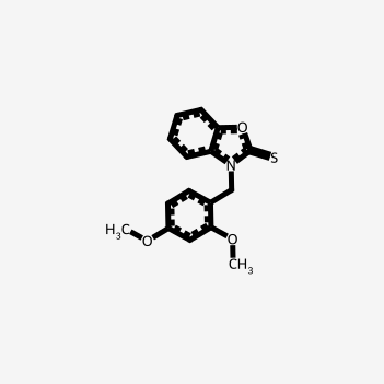 COc1ccc(Cn2c(=S)oc3ccccc32)c(OC)c1